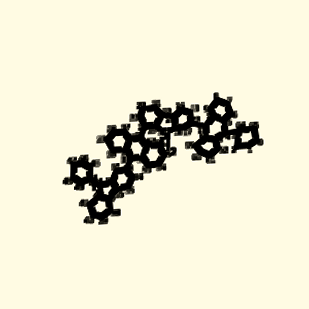 c1ccc(-c2c3ccccc3c(-c3ccc4c(c3)[SiH2]c3c-4cccc3-c3c4ccccc4c(-c4ccc5c6ccccc6n(-c6ccccc6)c5c4)c4ccccc34)c3ccccc23)cc1